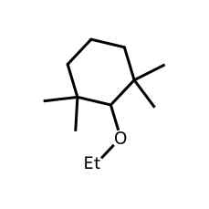 CCOC1C(C)(C)CCCC1(C)C